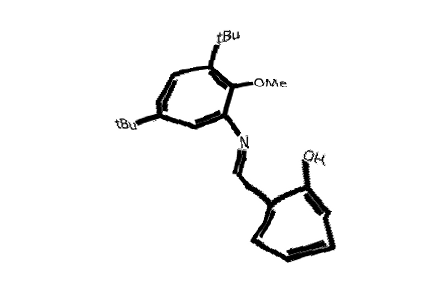 COc1c(N=Cc2ccccc2O)cc(C(C)(C)C)cc1C(C)(C)C